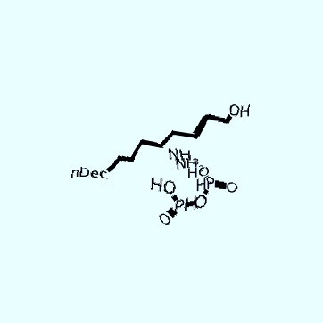 CCCCCCCCCCCCCCCC=CCO.N.N.O=[PH](O)O[PH](=O)O